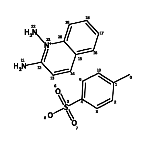 Cc1ccc(S(=O)(=O)[O-])cc1.Nc1ccc2ccccc2[n+]1N